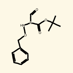 CC(C)(C)OC(=O)N(C=O)NOCc1ccccc1